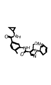 COCc1c(C(=O)Nc2cc(C(=O)NC3CC3)ccc2C)cnn1-c1ccccc1